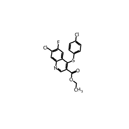 CCOC(=O)c1cnc2cc(Cl)c(F)cc2c1Sc1ccc(Cl)cc1